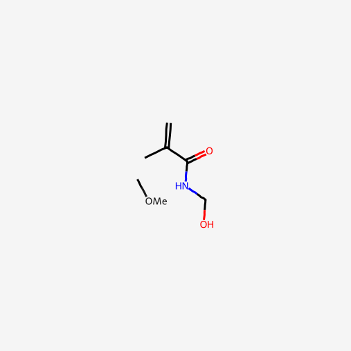 C=C(C)C(=O)NCO.COC